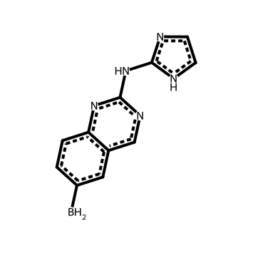 Bc1ccc2nc(Nc3ncc[nH]3)ncc2c1